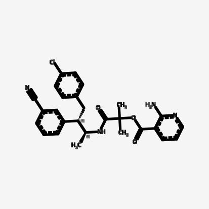 C[C@H](NC(=O)C(C)(C)OC(=O)c1cccnc1N)[C@@H](Cc1ccc(Cl)cc1)c1cccc(C#N)c1